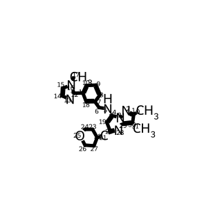 Cc1nn2c(NCc3cccc(-c4nccn4C)c3)cc(CC3CCOCC3)nc2c1C